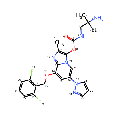 CCC(C)(N)CNC(=O)Oc1c(C)nc2c(OCc3c(F)cccc3F)cc(-n3cccn3)cn12